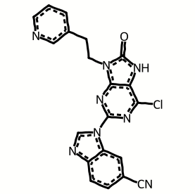 N#Cc1ccc2ncn(-c3nc(Cl)c4[nH]c(=O)n(CCc5cccnc5)c4n3)c2c1